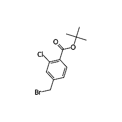 CC(C)(C)OC(=O)c1ccc(CBr)cc1Cl